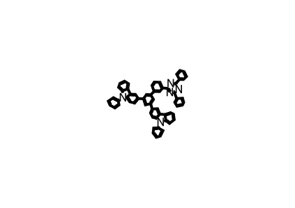 c1ccc(-c2nc(-c3ccccc3)nc(-c3cccc(-c4cc(-c5ccc6c(c5)c5ccccc5n6-c5ccccc5)cc(-c5ccc6c(c5)c5ccccc5n6-c5ccccc5)c4)c3)n2)cc1